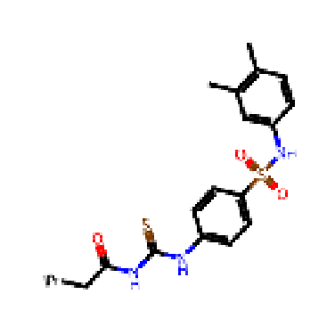 Cc1ccc(NS(=O)(=O)c2ccc(NC(=S)NC(=O)CC(C)C)cc2)cc1C